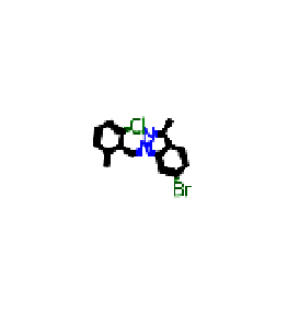 CC1=NN(CC2C(Cl)=CC=CC2C)C2C=C(Br)C=CC12